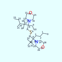 CCCCC(CSCC(CC)(N1CCOCC1)C(C)(C)C(C)CC)(N1CCOCC1)C(C)(C)C